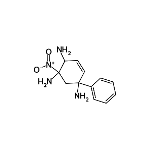 NC1C=CC(N)(c2ccccc2)CC1(N)[N+](=O)[O-]